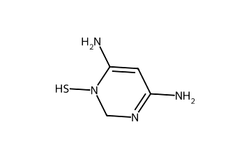 NC1=CC(N)=NCN1S